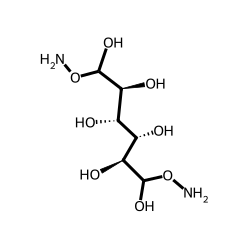 NOC(O)[C@@H](O)[C@@H](O)[C@H](O)[C@H](O)C(O)ON